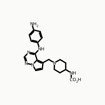 Nc1ccc(Nc2ncnn3ccc(CN4CCC(NC(=O)O)CC4)c23)cc1